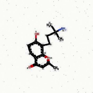 Cc1cc(=O)c2ccc(O)c(CCC(C)(C)N)c2o1